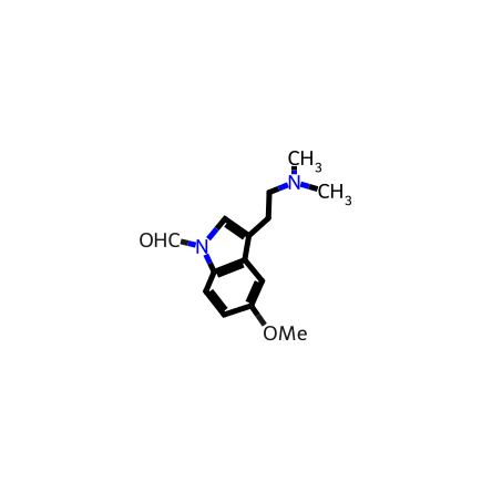 COc1ccc2c(c1)c(CCN(C)C)cn2C=O